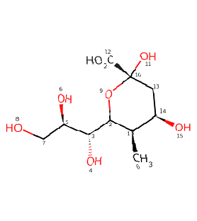 C[C@H]1C([C@H](O)[C@H](O)CO)O[C@@](O)(C(=O)O)C[C@H]1O